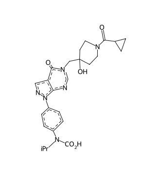 CC(C)N(C(=O)O)c1ccc(-n2ncc3c(=O)n(CC4(O)CCN(C(=O)C5CC5)CC4)cnc32)cc1